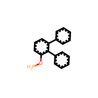 POc1cccc(-c2ccccc2)c1-c1ccccc1